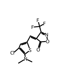 CN(C)c1sc(C=C2C(=O)ON=C2C(F)(F)F)cc1Cl